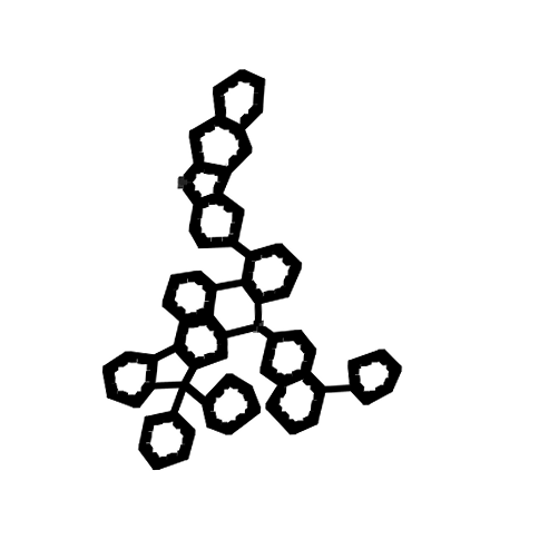 c1ccc(-c2c(-c3ccc4sc5cc6ccccc6cc5c4c3)cccc2N(c2ccc3c(c2)C(c2ccccc2)(c2ccccc2)c2ccccc2-3)c2ccc3c(-c4ccccc4)cccc3c2)cc1